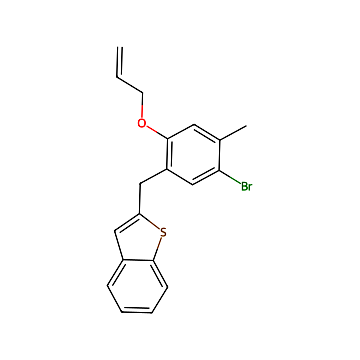 C=CCOc1cc(C)c(Br)cc1Cc1cc2ccccc2s1